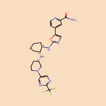 NC(=O)c1cc(-c2cnc(N[C@@H]3CCCC[C@H]3N[C@H]3CCCN(c4cnc(C(F)(F)F)nc4)C3)o2)ccn1